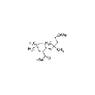 CCCCC(=O)C1CC(C)(C)CCC1SC(C)(C)CCOC